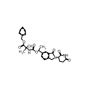 CC(OC(=O)NC(C)(C)C(=O)OCc1ccccc1)c1ccc2c(c1)C(=O)N(C1CCC(=O)NC1=O)C2